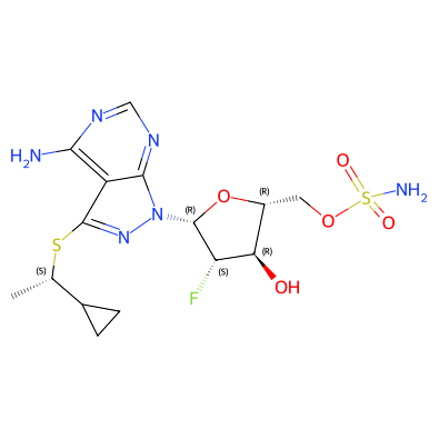 C[C@H](Sc1nn([C@@H]2O[C@H](COS(N)(=O)=O)[C@@H](O)[C@@H]2F)c2ncnc(N)c12)C1CC1